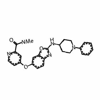 CNC(=O)c1cc(Oc2ccc3nc(NC4CCN(c5ccccc5)CC4)oc3c2)ccn1